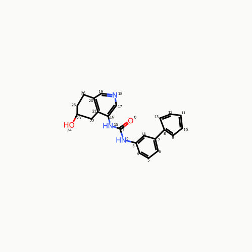 O=C(Nc1cccc(-c2ccccc2)c1)Nc1cncc2c1CC(O)CC2